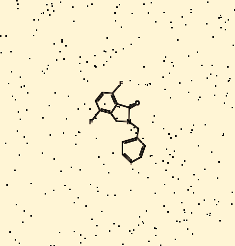 O=C1c2c(F)ccc(F)c2CN1Cc1cc[c]cc1